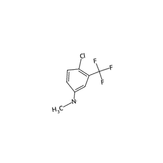 C[N]c1ccc(Cl)c(C(F)(F)F)c1